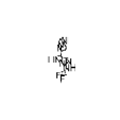 FC1(F)CC(Nc2ncc3c(-c4ccc5nccn5n4)c[nH]c3n2)C1